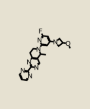 COC1CN(c2cc(F)nc(N3CCc4nc(-c5ncccn5)ncc4C3C)c2)C1